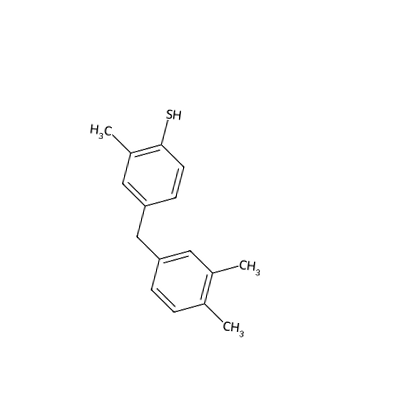 Cc1ccc(Cc2ccc(S)c(C)c2)cc1C